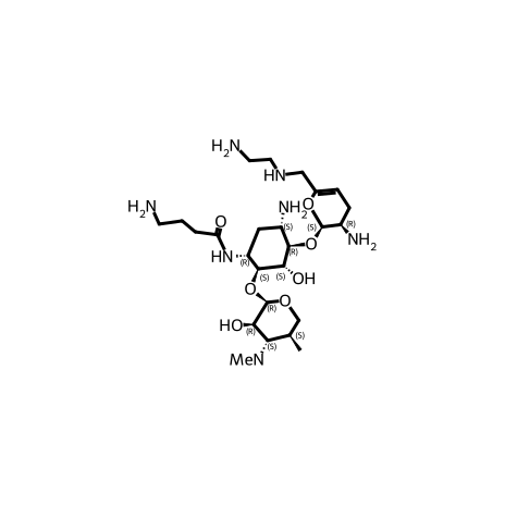 CN[C@@H]1[C@@H](O)[C@@H](O[C@@H]2[C@@H](O)[C@H](O[C@H]3OC(CNCCN)=CC[C@H]3N)[C@@H](N)C[C@H]2NC(=O)CCCN)OC[C@H]1C